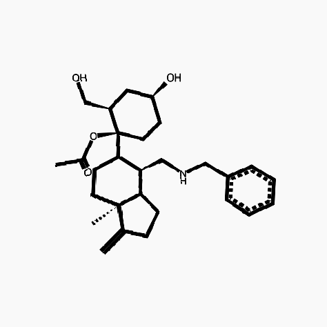 C=C1CCC2[C@H](CNCc3ccccc3)C([C@@]3(OC(C)=O)CC[C@H](O)C[C@@H]3CO)CC[C@]12C